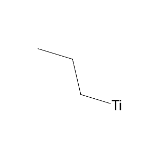 CC[CH2][Ti]